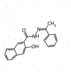 CC(=NNC(=O)c1cc2ccccc2cc1O)c1ccccc1